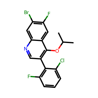 CC(C)Oc1c(-c2c(F)cccc2Cl)cnc2cc(Br)c(F)cc12